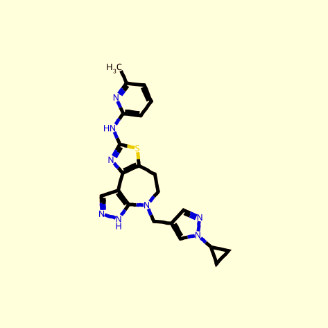 Cc1cccc(Nc2nc3c(s2)CCN(Cc2cnn(C4CC4)c2)c2[nH]ncc2-3)n1